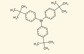 CC(C)(C)c1cc[c]([Sb]([c]2ccc(C(C)(C)C)cc2)[c]2ccc(C(C)(C)C)cc2)cc1